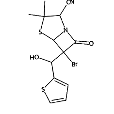 CC1(C)SC2N(C(=O)C2(Br)C(O)c2cccs2)C1C#N